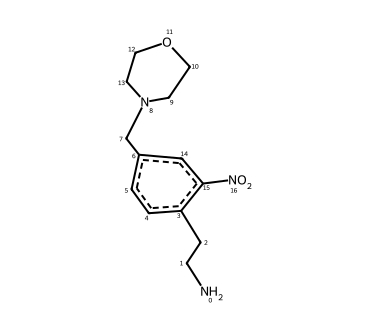 NCCc1ccc(CN2CCOCC2)cc1[N+](=O)[O-]